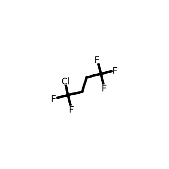 FC(F)(F)CCC(F)(F)Cl